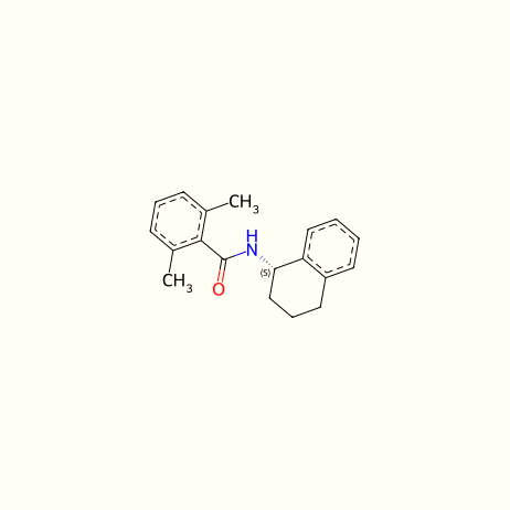 Cc1cccc(C)c1C(=O)N[C@H]1CCCc2ccccc21